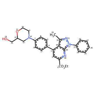 CCOC(=O)c1cc(-c2ccc(N3CCOC(CO)C3)cc2)c2c(C)nn(-c3ccccc3)c2n1